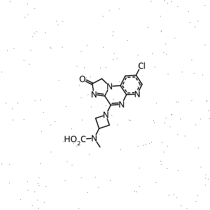 CN(C(=O)O)C1CN(C2=Nc3ncc(Cl)cc3N3CC(=O)N=C23)C1